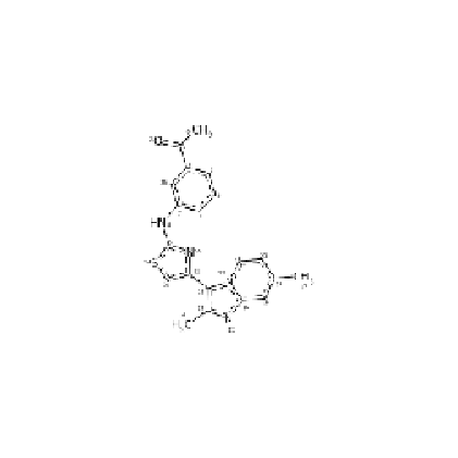 CC(=O)c1cccc(Nc2nc(-c3c(C)nc4cc(C)ccn34)cs2)c1